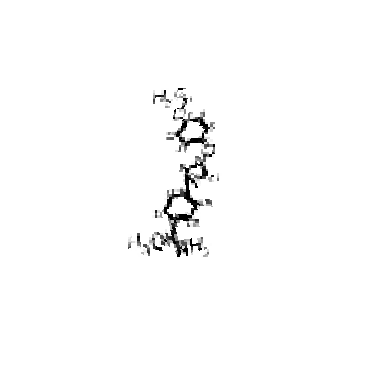 CCOc1ccc(OC2CN(c3ccc([C@H](C)N)cc3)C2)cc1